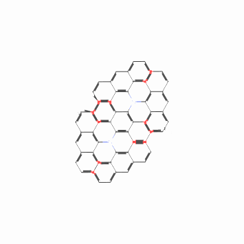 Cc1ccc2c(N(c3c4ccccc4cc4ccccc34)c3c4ccccc4cc4ccccc34)c3cc(C)c(C)cc3c(N(c3c4ccccc4cc4ccccc34)c3c4ccccc4cc4ccccc34)c2c1